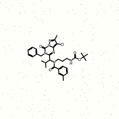 Cc1cccc(C(=O)N(CCCNC(=O)OC(C)(C)C)C(c2nc3c(Cl)c(C)nn3c(=O)n2Cc2ccccc2)C(C)C)c1